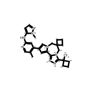 Cc1cnc(Nc2ccnn2C)cc1-c1cc2n(c1)CC1(CCC1)Cn1c-2nnc1C1(C(F)(F)F)CCC1